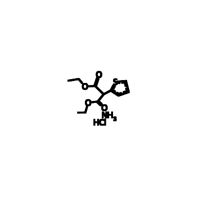 CCOC(=O)C(C(=O)OCC)c1cccs1.Cl.N